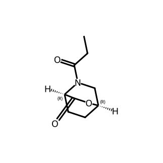 CCC(=O)N1C[C@H]2CC[C@@H]1C(=O)O2